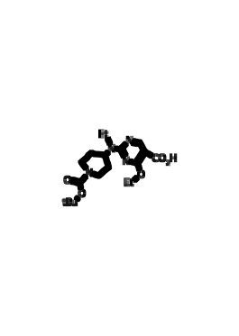 CCOc1nc(N(CC)C2CCN(C(=O)OC(C)(C)C)CC2)ncc1C(=O)O